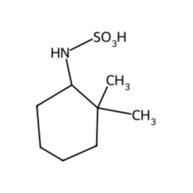 CC1(C)CCCCC1NS(=O)(=O)O